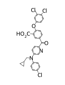 O=C(c1ccc(Oc2ccc(Cl)c(Cl)c2)c(C(=O)O)c1)c1ccc(N(CC2CC2)c2ccc(Cl)cc2)cn1